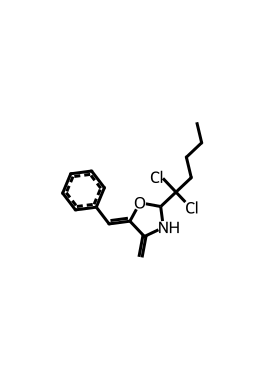 C=C1NC(C(Cl)(Cl)CCCC)O/C1=C\c1ccccc1